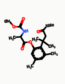 CNC(=O)CC(C)(C)c1c(C)cc(C)cc1OC(=O)C(C)NC(=O)OC(C)(C)C